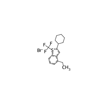 CCc1cccc2c1cc(C1CCCCC1)[s+]2C(F)(F)F.[Br-]